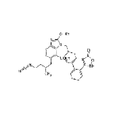 CCOc1nc2ccc(CC(C)CCN=[N+]=[N-])c(C(=O)O)c2n1Cc1ccc(-c2ccccc2-c2nc(=O)o[nH]2)cc1